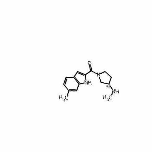 CN[C@@H]1CCN(C(=O)c2cc3ccc(C)cc3[nH]2)C1